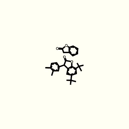 Cc1ccc(C2C(=O)Oc3c2cc(C(C)(C)C)cc3C(C)(C)C)cc1C.O=C1Cc2ccccc2O1